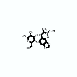 CCCCCCCC[S+]([O-])C(C)Cc1ccc2c(c1)OCO2.OC[C@H]1O[C@H](O)[C@H](O)[C@@H](O)[C@H]1O